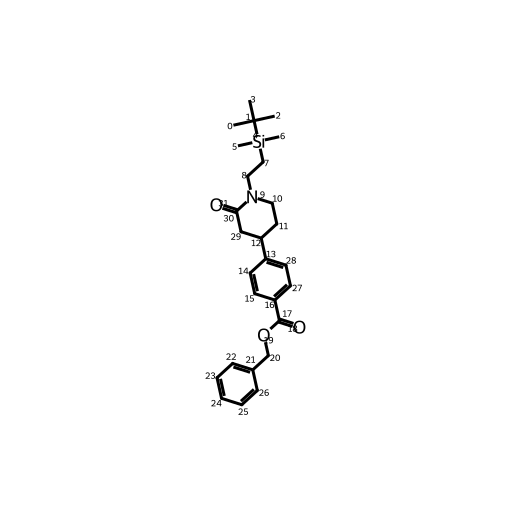 CC(C)(C)[Si](C)(C)CCN1CCC(c2ccc(C(=O)OCc3ccccc3)cc2)CC1=O